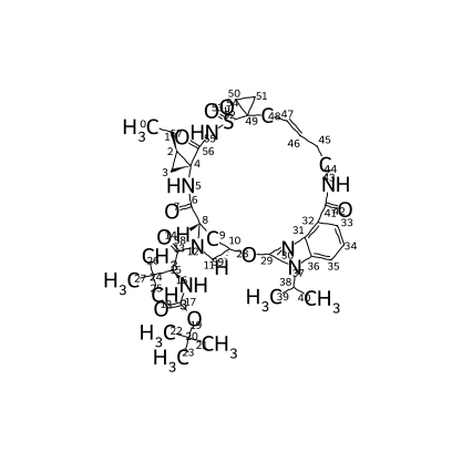 CC[C@@H]1C[C@@]12NC(=O)[C@@H]1C[C@H](CN1C(=O)[C@@H](NC(=O)OC(C)(C)C)C(C)(C)C)Oc1nc3c(cccc3n1C(C)C)C(=O)NCC/C=C/CC1(CC1)S(=O)(=O)NC2=O